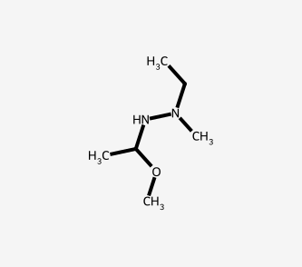 CCN(C)NC(C)OC